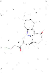 O=C1CCC2=CC(C(=O)CCCl)Cn3c4c(c1c32)CCCC4